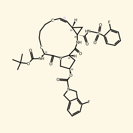 CC(C)(C)OC(=O)N[C@H]1CCCCC/C=C\[C@@H]2C[C@@]2(C(=O)NS(=O)(=O)c2ccccc2F)NC(=O)[C@@H]2C[C@@H](OC(=O)N3Cc4cccc(F)c4C3)CN2C1=O